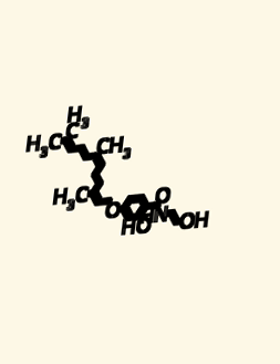 CC(C)=CCCC(C)=CCCC(C)=CCOc1ccc(C(=O)NCCO)c(O)c1